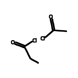 CC(=O)Cl.CCC(=O)Cl